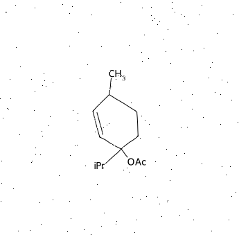 CC(=O)OC1(C(C)C)C=CC(C)CC1